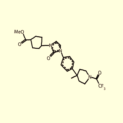 COC(=O)C1CCC(n2ccn(-c3ccc(C4(C)CCN(C(=O)C(F)(F)F)CC4)cc3)c2=O)CC1